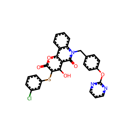 O=c1oc2c(c(O)c1Sc1cccc(Cl)c1)c(=O)n(Cc1ccc(Oc3ncccn3)cc1)c1ccccc21